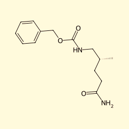 C[C@H](CCC(N)=O)CNC(=O)OCc1ccccc1